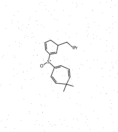 CC(C)CC1C=C([S+]([O-])C2=CC=CC(C)(C)C=C2)C=CC1